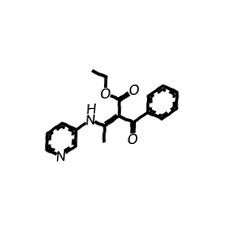 CCOC(=O)/C(C(=O)c1ccccc1)=C(/C)Nc1cccnc1